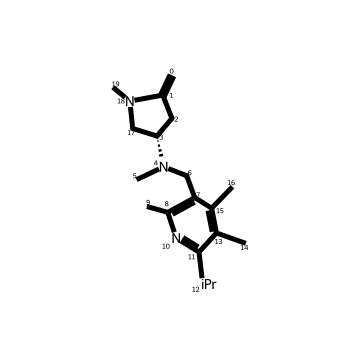 C=C1C[C@H](N(C)Cc2c(C)nc(C(C)C)c(C)c2C)CN1C